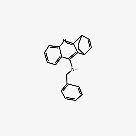 C1=CC2CCC1c1nc3ccccc3c(NCc3ccccc3)c12